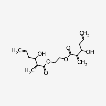 C=CCC(O)C(=C)C(=O)OCCOC(=O)C(=C)C(O)CC=C